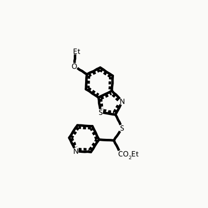 CCOC(=O)C(Sc1nc2ccc(OCC)cc2s1)c1cccnc1